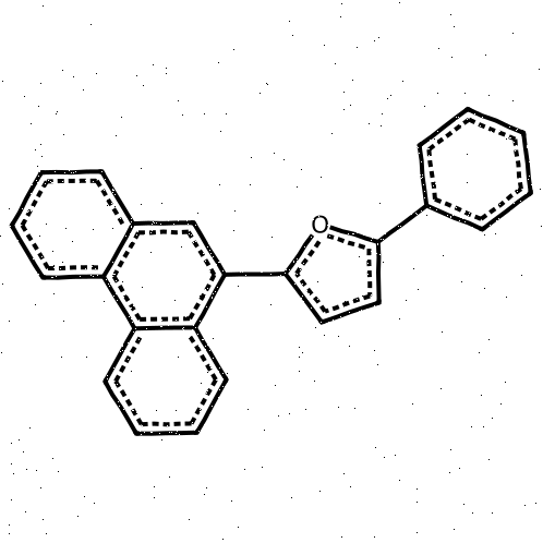 c1ccc(-c2ccc(-c3cc4ccccc4c4ccccc34)o2)cc1